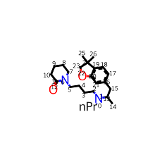 CCCN(CCCCN1CCCCC1=O)C(C)Cc1ccc2c(c1)OCC2(C)C